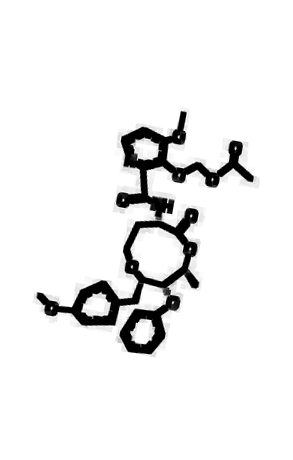 COc1ccc(C[C@H]2OCC[C@H](NC(=O)c3nccc(OC)c3OCOC(C)=O)C(=O)O[C@@H](C)[C@@H]2Oc2ccccc2)cc1